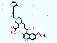 COc1ccc2ncc(Cl)c(C(O)CCC3CCN(CC#Cc4sccc4F)CC3CC(=O)O)c2c1